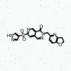 O=c1c2cnc(S(=O)(=O)c3cn[nH]c3)cc2cnn1Cc1ccc2c(n1)CCO2